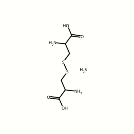 NC(CSSCC(N)C(=O)O)C(=O)O.S